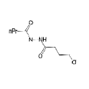 CCCC(=O)[N]NC(=O)CCCCl